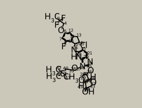 CC(F)(F)COc1cc(F)c2c(c1)CCC2Nc1nc2c(cc1Cl)nc(O[C@@H]1CO[C@H]3[C@@H]1OC[C@H]3O)n2COCC[Si](C)(C)C